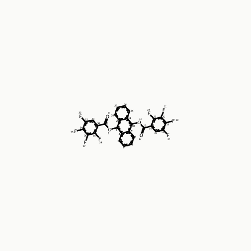 O=C(Oc1c2ccccc2c(OC(=O)c2cc(F)c(F)c(F)c2F)c2ccccc12)c1cc(F)c(F)c(F)c1F